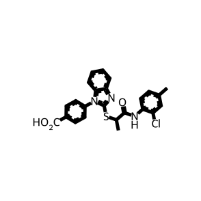 Cc1ccc(NC(=O)C(C)Sc2nc3ccccc3n2-c2ccc(C(=O)O)cc2)c(Cl)c1